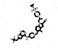 Cc1c(CN2CCC(Nc3ncnc4sc(CC(F)(F)F)cc34)CC2)ccc2c1cc(C#N)n2CC(C)N1CCN(S(=O)(=O)N2CC2)CC1